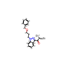 CCCC(CC)C(=O)c1nn(CCCOCc2ccccc2)c2ccccc12